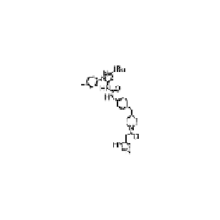 Cc1ccc(-n2nc(C(C)(C)C)cc2NC(=O)Nc2ccc(CC3CCN(C(=O)Cc4cnc[nH]4)CC3)cc2)cc1